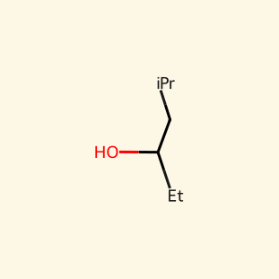 [CH2]CC(O)CC(C)C